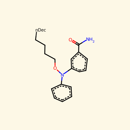 CCCCCCCCCCCCCCON(c1ccccc1)c1cccc(C(N)=O)c1